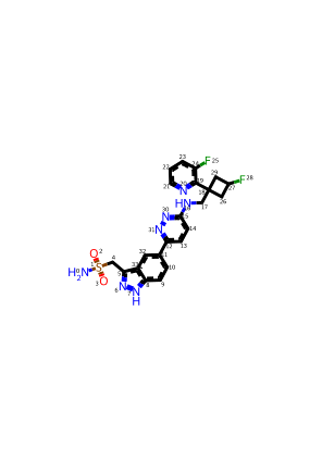 NS(=O)(=O)Cc1n[nH]c2ccc(-c3ccc(NCC4(c5ncccc5F)CC(F)C4)nn3)cc12